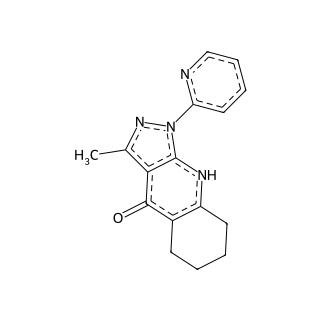 Cc1nn(-c2ccccn2)c2[nH]c3c(c(=O)c12)CCCC3